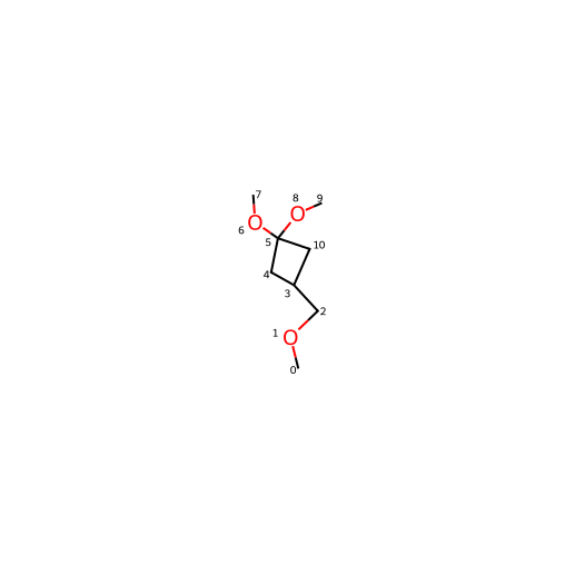 COCC1CC(OC)(OC)C1